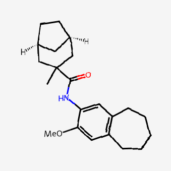 COc1cc2c(cc1NC(=O)C1(C)C[C@@H]3CC[C@@H](C3)C1)CCCCC2